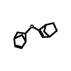 C1=CC2CC1CC2OC1=CC2CCC1C2